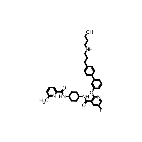 Cc1cccc(C(=O)N[C@H]2CC[C@H](NC(=O)c3cc(F)cnc3Oc3cccc(-c4ccc(CCCNCCCO)cc4)c3)CC2)n1